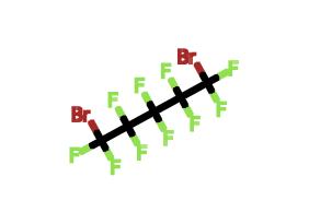 FC(F)(Br)C(F)(F)C(F)(F)C(F)(F)C(F)(F)Br